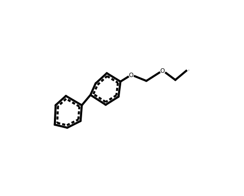 [CH2]COCOc1ccc(-c2ccccc2)cc1